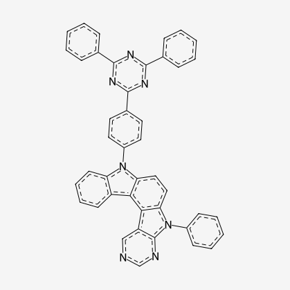 c1ccc(-c2nc(-c3ccccc3)nc(-c3ccc(-n4c5ccccc5c5c6c7cncnc7n(-c7ccccc7)c6ccc54)cc3)n2)cc1